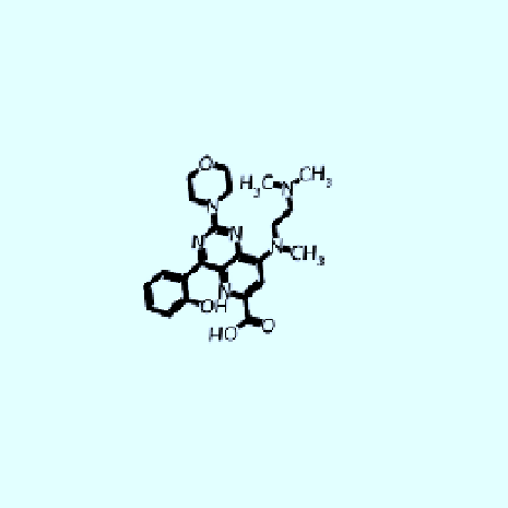 CN(C)CCN(C)c1cc(C(=O)O)nc2c(-c3ccccc3O)nc(N3CCOCC3)nc12